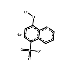 CCOc1ccc(S(=O)(=O)[O-])c2cccnc12.[Na+]